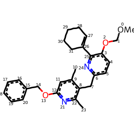 COCOc1ccc(Cc2c(C)cc(OCc3ccccc3)nc2C)nc1C1=CCCCC1